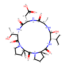 CC(C)[C@@H]1NC(=O)[C@@H]2CCCN2C(=O)[C@@H]2CCCN2C(=O)[C@H]([C@@H](C)O)NC(=O)[C@H](CC(=O)O)NC(=O)[C@H](C)NC1O